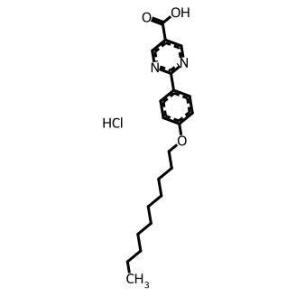 CCCCCCCCCCOc1ccc(-c2ncc(C(=O)O)cn2)cc1.Cl